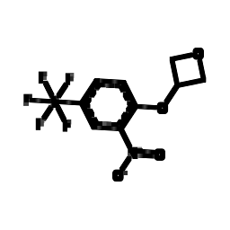 O=[N+]([O-])c1cc(S(F)(F)(F)(F)F)ccc1OC1COC1